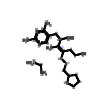 C/C(=C(/CCO)SSCC1CCCO1)N(C=O)Cc1cnc(C)nc1N.NCC(=O)O